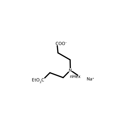 CCCCCCN(CCC(=O)[O-])CCC(=O)OCC.[Na+]